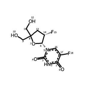 O=c1[nH]c(=O)n([C@@H]2OC(CO)(CO)C[C@@H]2F)cc1F